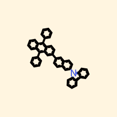 c1ccc(-c2c3ccccc3c(-c3ccccc3)c3cc(-c4ccc5cc(-n6c7ccccc7c7ccccc76)ccc5c4)ccc23)cc1